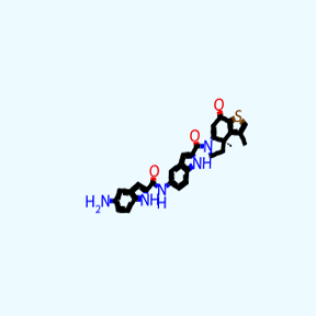 Cc1csc2c1[C@@]1(C)CCN(C(=O)c3cc4cc(NC(=O)c5cc6cc(N)ccc6[nH]5)ccc4[nH]3)C1=CC2=O